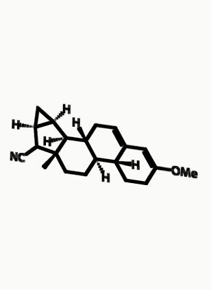 COC1=CC2=CC[C@@H]3[C@H](CC[C@]4(C)C(C#N)[C@H]5C[C@H]5[C@@H]34)[C@H]2CC1